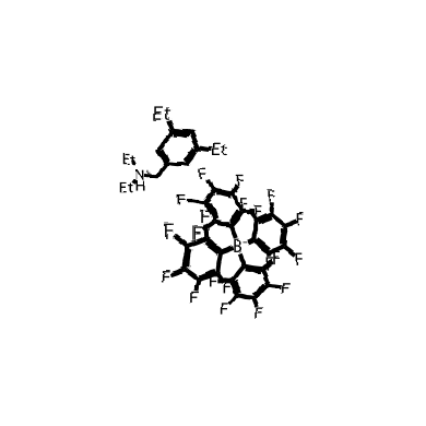 CCc1cc(CC)cc(C[NH+](CC)CC)c1.Fc1c(F)c(F)c([B-](c2c(F)c(F)c(F)c(F)c2F)(c2c(F)c(F)c(F)c(F)c2F)c2c(F)c(F)c(F)c(F)c2F)c(F)c1F